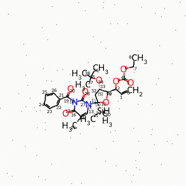 C=CC(OC(=O)OCC)[C@H]1O[C@](n2cc(C)c(=O)n(C(=O)c3ccccc3)c2=O)([SiH](C)C)C[C@@H]1OC(C)(C)C